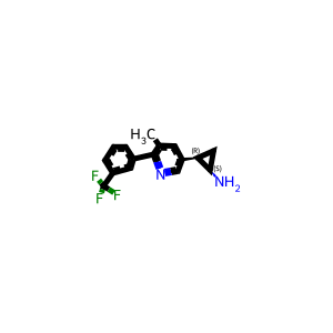 Cc1cc([C@H]2C[C@@H]2N)cnc1-c1cccc(C(F)(F)F)c1